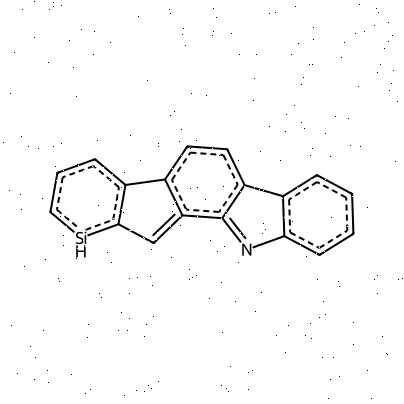 C1=c2c(ccc3c2=Nc2ccccc2-3)-c2ccc[siH]c21